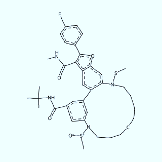 CNC(=O)c1c(-c2ccc(F)cc2)oc2cc3c(cc12)-c1cc(C(=O)NC(C)(C)C)cc(c1)N([S+](C)[O-])CCCCCCCCN3SC